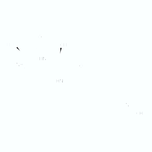 CNCCc1cccc(NC(=O)[C@H](C)NC(=O)[C@H](C)N)c1